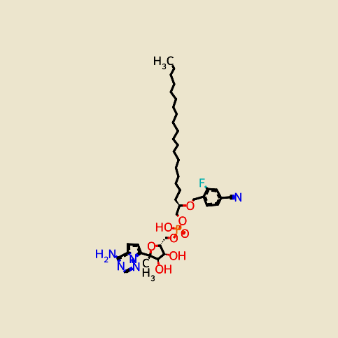 CCCCCCCCCCCCCCCCCCC[C@H](COP(=O)(O)OC[C@H]1O[C@@](C)(c2ccc3c(N)ncnn23)[C@H](O)[C@@H]1O)OCc1ccc(C#N)cc1F